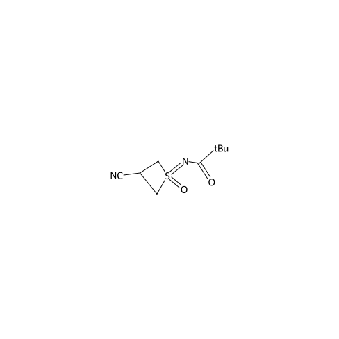 CC(C)(C)C(=O)N=S1(=O)CC(C#N)C1